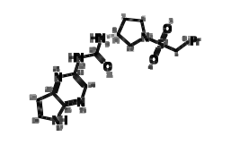 CC(C)CS(=O)(=O)N1CC[C@@H](NC(=O)Nc2cnc3[nH]ccc3n2)C1